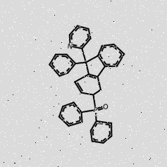 O=P(c1ccccc1)(c1ccccc1)C1C=CC2=C(C1)c1ccccc1C2(c1ccccc1)c1ccccn1